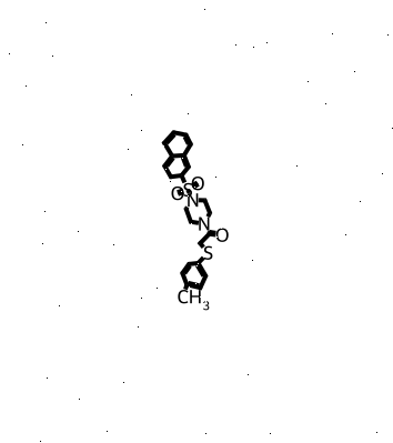 Cc1ccc(SCC(=O)N2CCN(S(=O)(=O)C3C=c4ccccc4=CC3)CC2)cc1